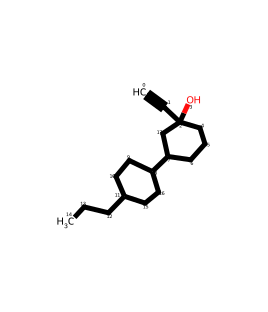 C#CC1(O)CCCC(C2CCC(CCC)CC2)C1